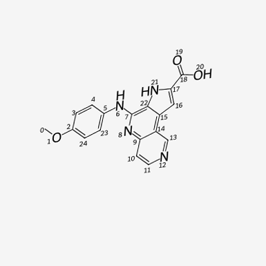 COc1ccc(Nc2nc3ccncc3c3cc(C(=O)O)[nH]c23)cc1